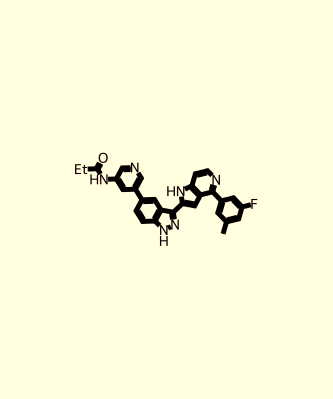 CCC(=O)Nc1cncc(-c2ccc3[nH]nc(-c4cc5c(-c6cc(C)cc(F)c6)nccc5[nH]4)c3c2)c1